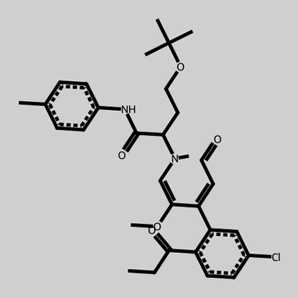 CCC(=O)c1ccc(Cl)cc1C(=C/C=O)/C(=C\N(C)C(CCOC(C)(C)C)C(=O)Nc1ccc(C)cc1)OC